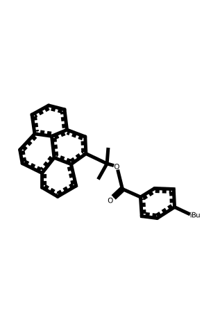 CCC(C)c1ccc(C(=O)OC(C)(C)c2cc3cccc4ccc5cccc2c5c43)cc1